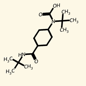 CC(C)(C)NC(=O)C1CCC(N(C(=O)O)C(C)(C)C)CC1